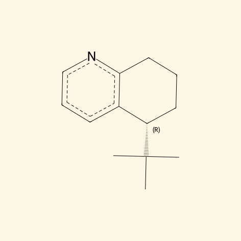 CC(C)(C)[C@H]1CCCc2ncccc21